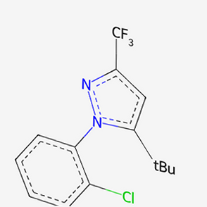 CC(C)(C)c1cc(C(F)(F)F)nn1-c1ccccc1Cl